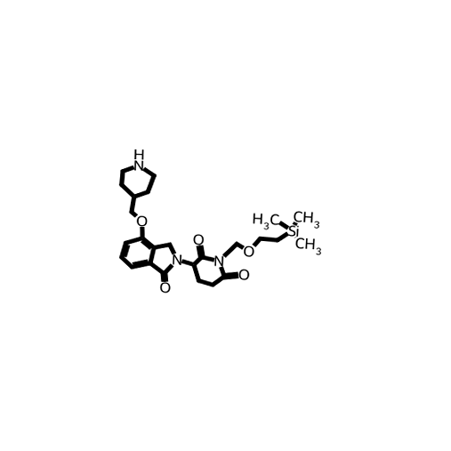 C[Si](C)(C)CCOCN1C(=O)CCC(N2Cc3c(OCC4CCNCC4)cccc3C2=O)C1=O